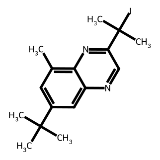 Cc1cc(C(C)(C)C)cc2ncc(C(C)(C)I)nc12